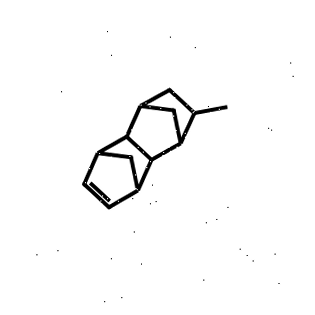 CC1CC2CC1C1C3C=CC(C3)C21